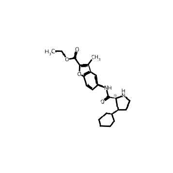 CCOC(=O)c1oc2ccc(NC(=O)[C@H]3NCCC3C3CCCCC3)cc2c1C